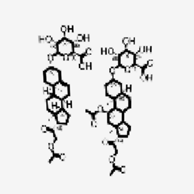 CC(=O)OCC(=O)[C@H]1CCC2C3CC[C@@H]4C[C@H](OC5O[C@H](C(=O)O)[C@@H](O)[C@H](O)[C@H]5O)CC[C@]4(C)C3[C@H](OC(C)=O)C[C@@]21C.CC(=O)OCC(=O)[C@H]1CC[C@H]2[C@@H]3CC=C4C[C@@H](OC5O[C@H](C(=O)O)[C@@H](O)[C@@H](O)[C@H]5O)CC[C@]4(C)[C@H]3CC[C@]12C